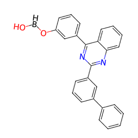 OBOc1cccc(-c2nc(-c3cccc(-c4ccccc4)c3)nc3ccccc23)c1